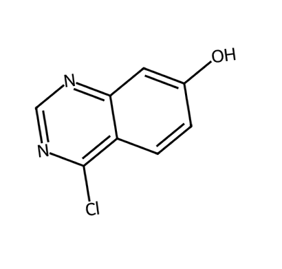 Oc1ccc2c(Cl)ncnc2c1